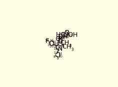 CC(C)c1nc(-c2ccccc2)cc(-c2ccc(F)cc2)c1COP(=O)(O)C[C@@H](O)CC(=O)O